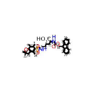 Cc1c(C)c(S(=O)(=O)NCCCC[C@H](NC(=O)OCC2c3ccccc3-c3ccccc32)C(=O)O)c(C)c2c1OC(C)(C)C2